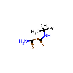 CC(C)C(C)(C)NC(=S)SC(N)=S